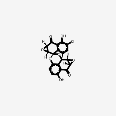 O=C1c2c(O)c(Cl)cc3c2[C@@]2(Oc4ccc(O)c5c4[C@]3(O2)[C@@H]2O[C@@H]2C5=O)[C@@H]2O[C@H]12